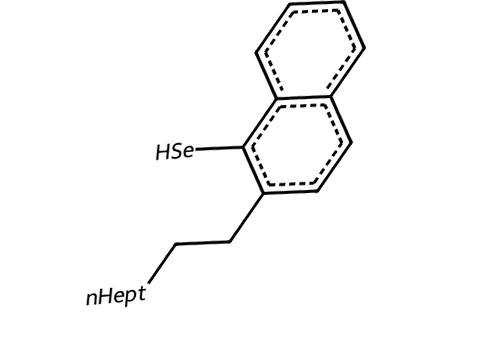 CCCCCCCCCc1ccc2ccccc2c1[SeH]